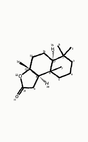 CC1(C)CCCC2(C)[C@H]3CC(=O)O[C@]3(C)CC[C@@H]12